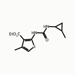 CCOC(=O)c1c(C)csc1NC(=O)NC1CC1C